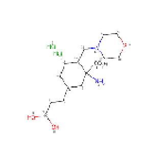 Cl.Cl.NC1(C(=O)O)CC(CCB(O)O)CCC1CN1CCOCC1